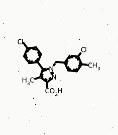 Cc1ccc(Cn2nc(C(=O)O)c(C)c2-c2ccc(Cl)cc2)cc1Cl